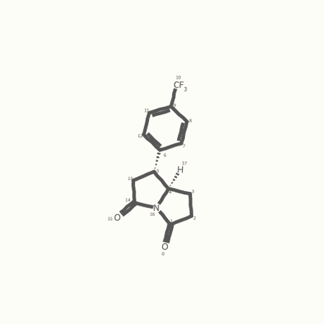 O=C1CC[C@@H]2[C@@H](c3ccc(C(F)(F)F)cc3)CC(=O)N12